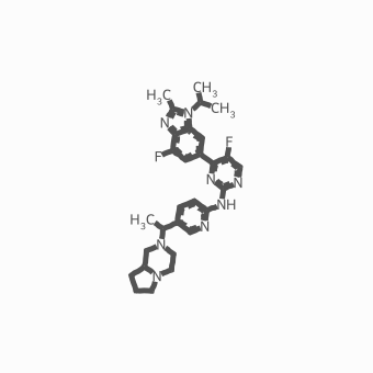 Cc1nc2c(F)cc(-c3nc(Nc4ccc(C(C)N5CCN6CCCC6C5)cn4)ncc3F)cc2n1C(C)C